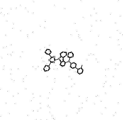 Cc1ccccc1-c1ccc(N(c2ccccc2)c2cccc3c2c2ccccc2n3-c2nc(-c3ccccc3)nc(-c3ccccc3)n2)cc1